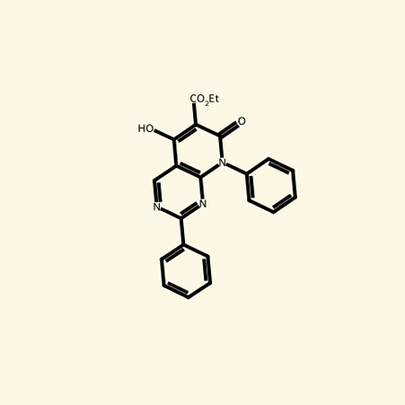 CCOC(=O)c1c(O)c2cnc(-c3ccccc3)nc2n(-c2ccccc2)c1=O